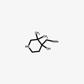 CNCC1(O)CCNCC1(C)C